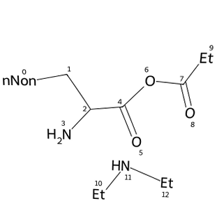 CCCCCCCCCCC(N)C(=O)OC(=O)CC.CCNCC